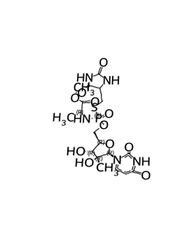 COC(=O)[C@@H](C)N[P@](=O)(OC[C@H]1O[C@@H](n2ccc(=O)[nH]c2=O)[C@](C)(O)[C@@H]1O)SCC1NC(=O)NC1=O